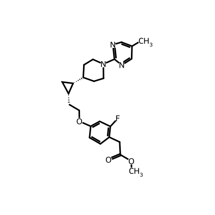 COC(=O)Cc1ccc(OCC[C@@H]2C[C@@H]2C2CCN(c3ncc(C)cn3)CC2)cc1F